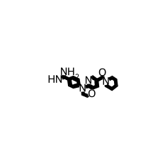 N=C(N)c1ccc(N2CCOc3cc(C(=O)N4CCCCC4)cnc32)cc1